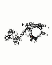 CNN(C)Cc1cc2ccccc2n1CCC(=O)N[C@@H](CCO)C(=O)NCCOCCOCCC(=O)N(C)[C@@H](C)C(=O)O[C@H]1CC(=O)N(C)c2cc(cc(OC)c2Cl)C/C(C)=C/C=C/[C@@H](OC)[C@@]2(O)C[C@H](OC(=O)N2)[C@@H](C)C2O[C@]21C